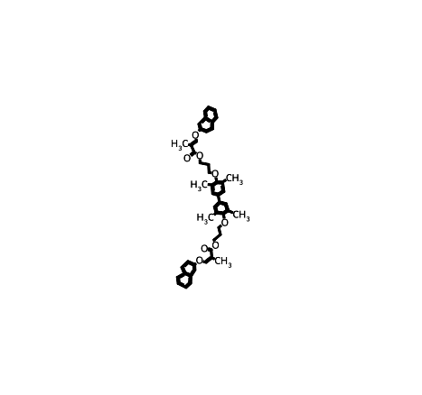 CC(=COc1ccc2ccccc2c1)C(=O)OCCCOc1c(C)cc(-c2cc(C)c(OCCCOC(=O)C(C)=COc3ccc4ccccc4c3)c(C)c2)cc1C